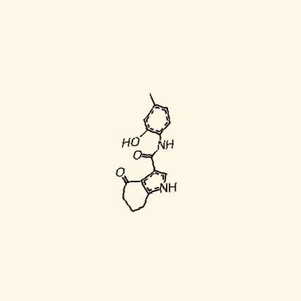 Cc1ccc(NC(=O)c2c[nH]c3c2C(=O)CCC3)c(O)c1